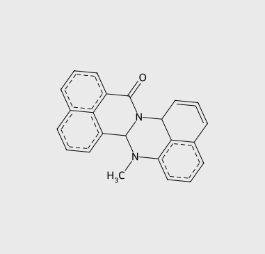 CN1c2cccc3c2C(C=C=C3)N2C(=O)c3cccc4cccc(c34)C12